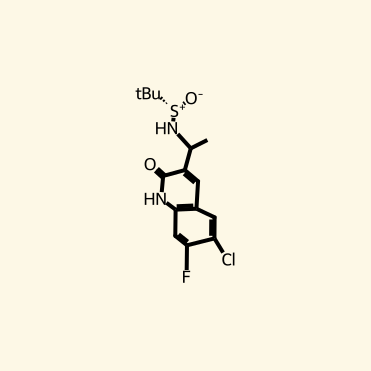 CC(N[S@@+]([O-])C(C)(C)C)c1cc2cc(Cl)c(F)cc2[nH]c1=O